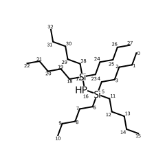 CCCCC[Si](CCCCC)(CCCCC)P[Si](CCCCC)(CCCCC)CCCCC